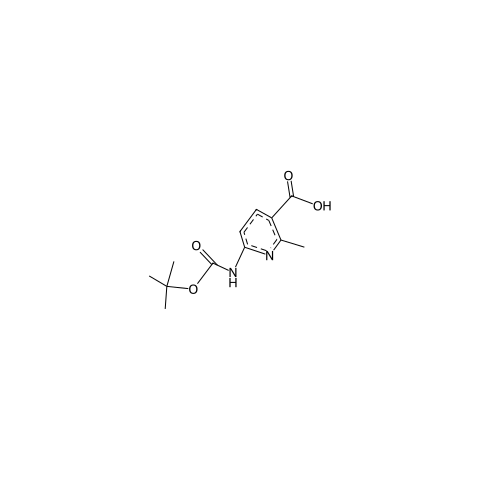 Cc1nc(NC(=O)OC(C)(C)C)ccc1C(=O)O